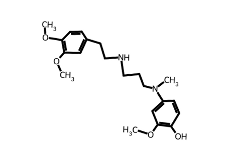 COc1cc(N(C)CCCNCCc2ccc(OC)c(OC)c2)ccc1O